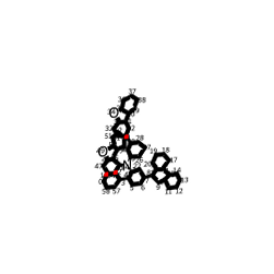 c1ccc(-c2ccc(-c3cc4ccccc4c4ccccc34)cc2N(c2cccc(-c3ccc4oc5ccccc5c4c3)c2)c2cccc3oc4ccccc4c23)cc1